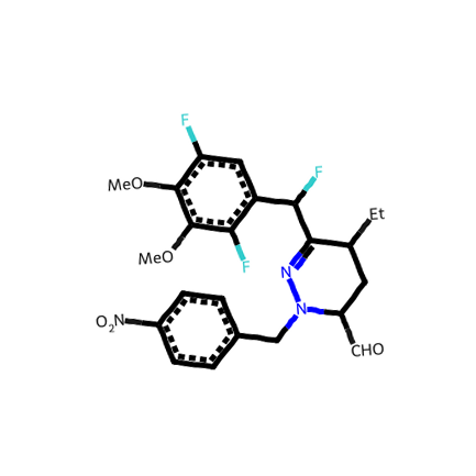 CCC1CC(C=O)N(Cc2ccc([N+](=O)[O-])cc2)N=C1C(F)c1cc(F)c(OC)c(OC)c1F